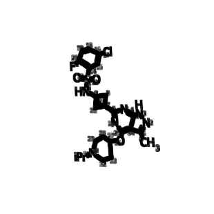 Cc1n[nH]c2nc(C34CC(NS(=O)(=O)c5cc(Cl)ccc5F)(C3)C4)nc(OC3CCN(C(C)C)CC3)c12